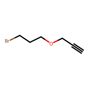 C#CCOCCCBr